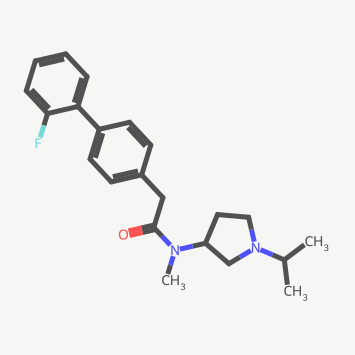 CC(C)N1CCC(N(C)C(=O)Cc2ccc(-c3ccccc3F)cc2)C1